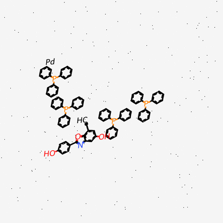 C#Cc1cc(O)cc2nc(-c3ccc(O)cc3)oc12.[Pd].c1ccc(P(c2ccccc2)c2ccccc2)cc1.c1ccc(P(c2ccccc2)c2ccccc2)cc1.c1ccc(P(c2ccccc2)c2ccccc2)cc1.c1ccc(P(c2ccccc2)c2ccccc2)cc1